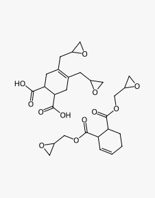 O=C(O)C1CC(CC2CO2)=C(CC2CO2)CC1C(=O)O.O=C(OCC1CO1)C1C=CCCC1C(=O)OCC1CO1